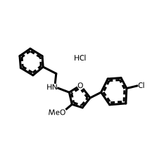 COc1cc(-c2ccc(Cl)cc2)oc1NCc1ccccc1.Cl